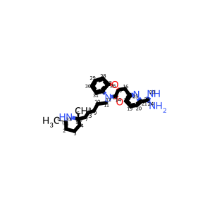 C[C@H]1CCC[C@@](C)(CCCCCN2C(=O)C(Cc3cccc(C(=N)N)n3)Oc3ccccc32)N1